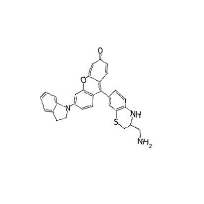 NCC1CSc2cc(-c3c4ccc(=O)cc-4oc4cc(N5CCc6ccccc65)ccc34)ccc2N1